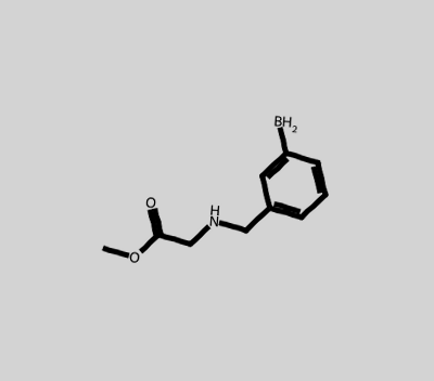 Bc1cccc(CNCC(=O)OC)c1